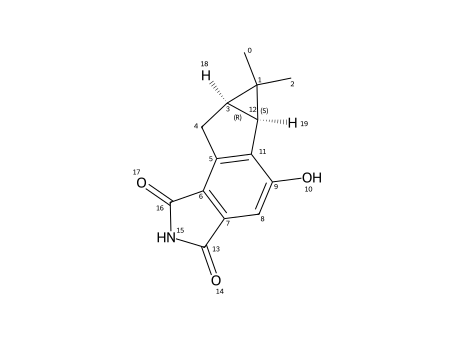 CC1(C)[C@@H]2Cc3c4c(cc(O)c3[C@@H]21)C(=O)NC4=O